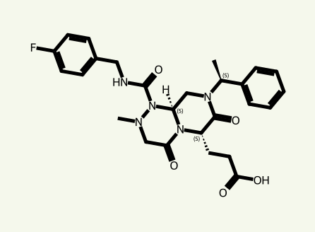 C[C@@H](c1ccccc1)N1C[C@H]2N(C(=O)CN(C)N2C(=O)NCc2ccc(F)cc2)[C@@H](CCC(=O)O)C1=O